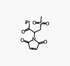 CC(C)C(=O)C(CS(C)(=O)=O)N1C(=O)C=CC1=O